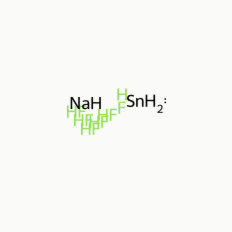 F.F.F.F.F.F.[NaH].[SnH2]